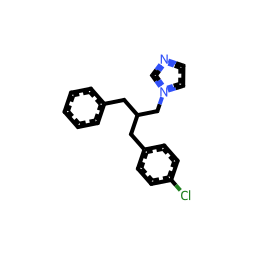 Clc1ccc(CC(Cc2ccccc2)Cn2ccnc2)cc1